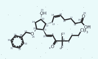 CCCCC(F)(F)C(=O)/C=C/[C@@H]1[C@@H](C/C=C\CCCC(=O)O)[C@@H](O)C[C@H]1OCc1ccccc1